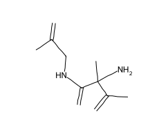 C=C(C)CNC(=C)C(C)(N)C(=C)C